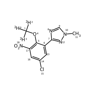 [2H]C([2H])([2H])Oc1c(-c2ncn(C)n2)cc(Cl)cc1[N+](=O)[O-]